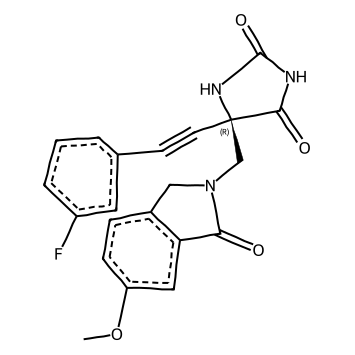 COc1ccc2c(c1)C(=O)N(C[C@@]1(C#Cc3cccc(F)c3)NC(=O)NC1=O)C2